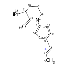 C/C=C/c1ccc(N2CCCC(C(C)C)C2=O)cc1